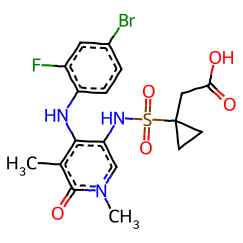 Cc1c(Nc2ccc(Br)cc2F)c(NS(=O)(=O)C2(CC(=O)O)CC2)cn(C)c1=O